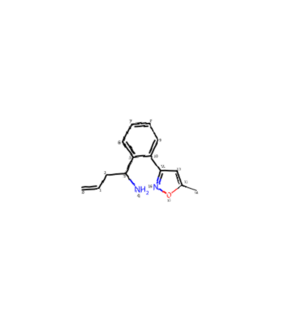 C=CCC(N)c1ccccc1-c1cc(C)on1